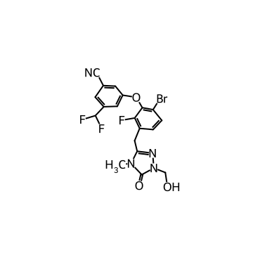 Cn1c(Cc2ccc(Br)c(Oc3cc(C#N)cc(C(F)F)c3)c2F)nn(CO)c1=O